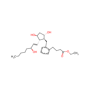 CCCCC[C@H](O)/C=C/[C@H]1[C@H](Cc2ccccc2CCCC(=O)OCC)[C@@H](O)C[C@@H]1O